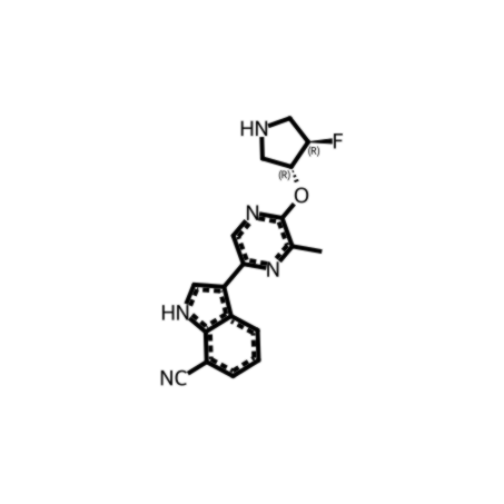 Cc1nc(-c2c[nH]c3c(C#N)cccc23)cnc1O[C@@H]1CNC[C@H]1F